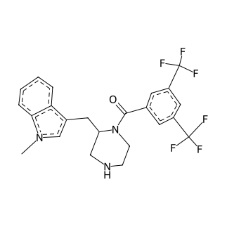 Cn1cc(CC2CNCCN2C(=O)c2cc(C(F)(F)F)cc(C(F)(F)F)c2)c2ccccc21